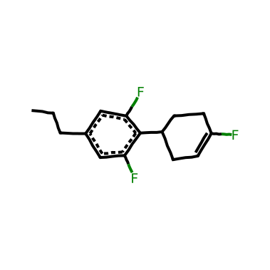 CCCc1cc(F)c(C2CC=C(F)CC2)c(F)c1